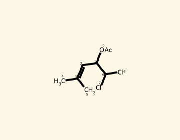 CC(=O)OC(C=C(C)C)C(Cl)Cl